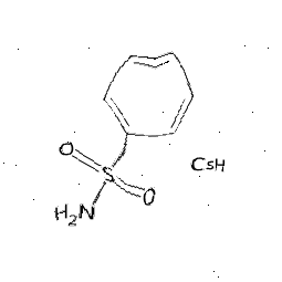 NS(=O)(=O)c1ccccc1.[CsH]